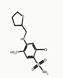 NS(=O)(=O)c1cc(C(=O)O)c(NCC2CCCO2)cc1Cl